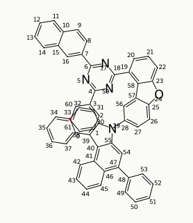 c1ccc(-c2nc(-c3ccc4ccccc4c3)nc(-c3cccc4oc5ccc(-n6c7ccc8ccccc8c7c7c8ccccc8c(-c8ccccc8)cc76)cc5c34)n2)cc1